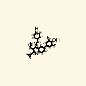 O=Cc1c(C2CC2)nc2ccc(-c3cc(F)c(O)c(F)c3)cc2c1NCC1CCNCC1